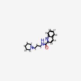 O=C(NCCCN1CCCCC1)c1ccc2ccccc2n1